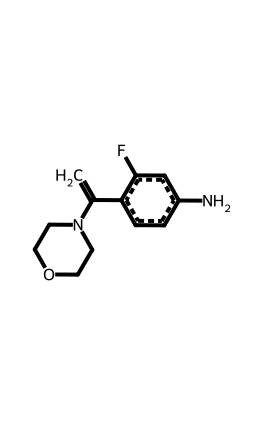 C=C(c1ccc(N)cc1F)N1CCOCC1